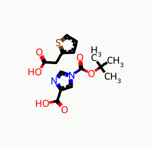 CC(C)(C)OC(=O)n1cnc(C(=O)O)c1.O=C(O)Cc1cccs1